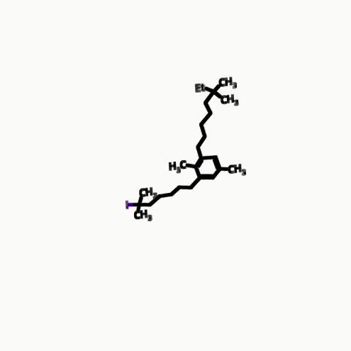 CCC(C)(C)CCCCCc1cc(C)cc(CCCCCC(C)(C)I)c1C